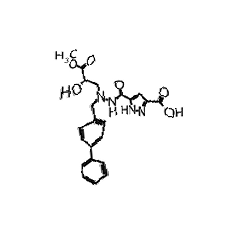 COC(=O)[C@H](O)CN(Cc1ccc(-c2ccccc2)cc1)NC(=O)c1cc(C(=O)O)n[nH]1